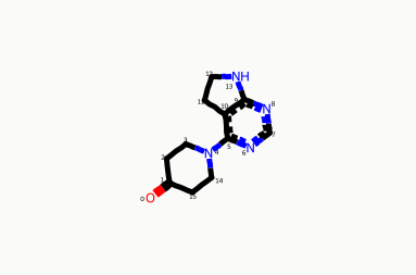 O=C1CCN(c2ncnc3c2CCN3)CC1